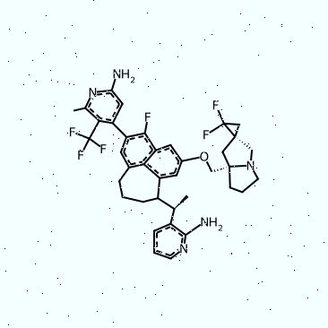 Cc1nc(N)cc(-c2cc3c4c(cc(OC[C@@]56CCCN5C[C@]5(CC5(F)F)C6)cc4c2F)C([C@@H](C)c2cccnc2N)CCC3)c1C(F)(F)F